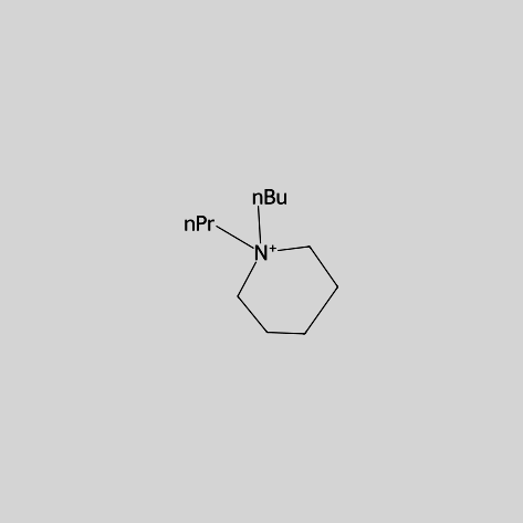 [CH2]CC[N+]1(CCCC)CCCCC1